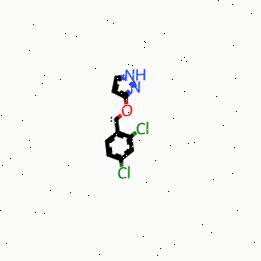 Clc1ccc([C]Oc2cc[nH]n2)c(Cl)c1